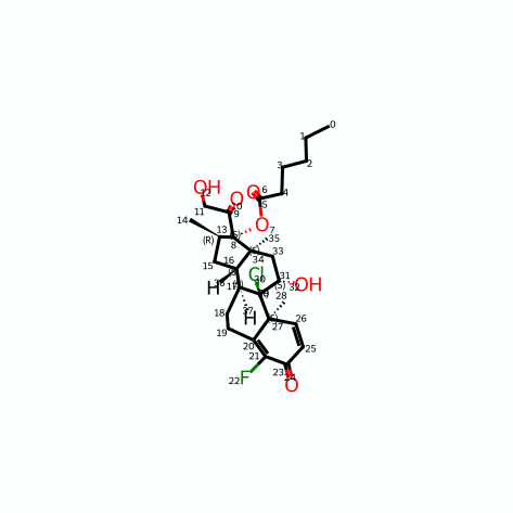 CCCCCC(=O)O[C@@]1(C(=O)CO)[C@H](C)C[C@H]2[C@@H]3CCC4=C(F)C(=O)C=C[C@]4(C)[C@@]3(Cl)[C@@H](O)C[C@@]21C